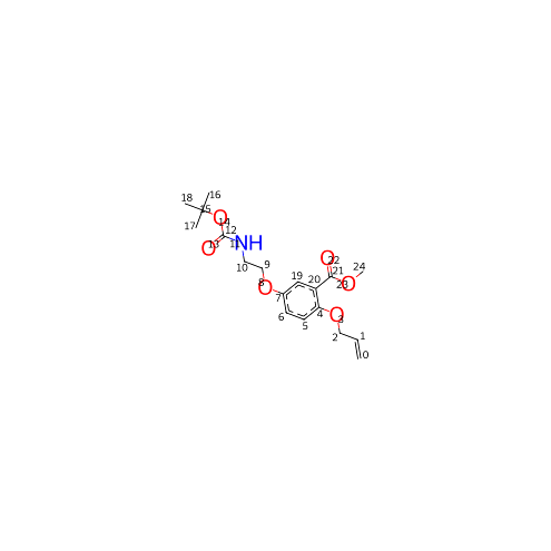 C=CCOc1ccc(OCCNC(=O)OC(C)(C)C)cc1C(=O)OC